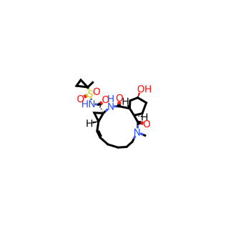 CN1CCCC/C=C\[C@@H]2C[C@@]2(C(=O)NS(=O)(=O)C2(C)CC2)NC(=O)[C@@H]2C[C@@H](O)CC[C@H]2C1=O